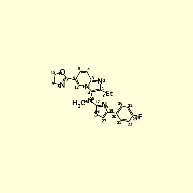 CCc1nc2ccc(C3=NCCO3)cn2c1N(C)c1nc(-c2ccc(F)cc2)cs1